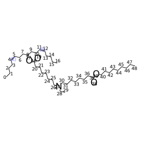 CCCC/C=C\CCC(CC/C=C\CCCC)OC(=O)CCCCCCCN(CC)CCCCCCCC(=O)OCCCCCCCCC